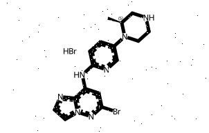 Br.C[C@H]1CNCCN1c1ccc(Nc2cc(Br)nn3ccnc23)nc1